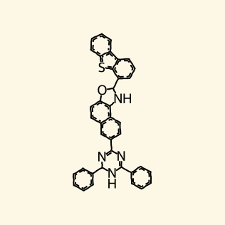 c1ccc(C2=NC(c3ccc4c5c(ccc4c3)OC(c3cccc4c3sc3ccccc34)N5)=NC(c3ccccc3)N2)cc1